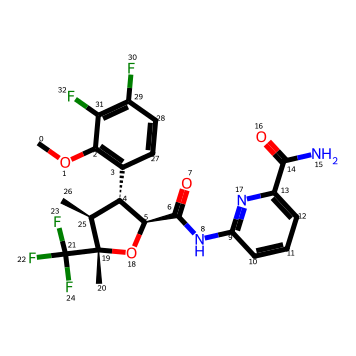 COc1c([C@@H]2[C@@H](C(=O)Nc3cccc(C(N)=O)n3)O[C@](C)(C(F)(F)F)[C@H]2C)ccc(F)c1F